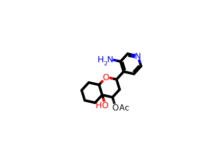 CC(=O)OC1CC(c2ccncc2N)OC2CCCCC12O